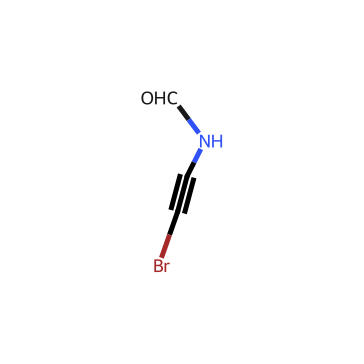 O=CNC#CBr